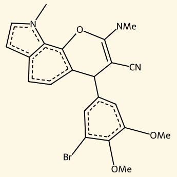 CNC1=C(C#N)C(c2cc(Br)c(OC)c(OC)c2)c2ccc3ccn(C)c3c2O1